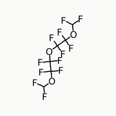 FC(F)OC(F)(F)C(F)(F)OC(F)(F)C(F)(F)OC(F)F